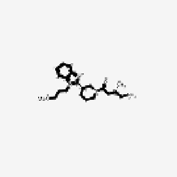 COCCCn1c([C@@H]2CCCN(C(=O)C[C@H](N)CN)C2)nc2ccccc21